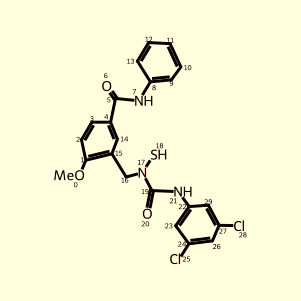 COc1ccc(C(=O)Nc2ccccc2)cc1CN(S)C(=O)Nc1cc(Cl)cc(Cl)c1